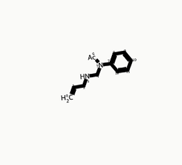 C=CCNCN(C(C)=O)c1ccccc1